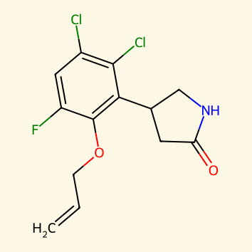 C=CCOc1c(F)cc(Cl)c(Cl)c1C1CNC(=O)C1